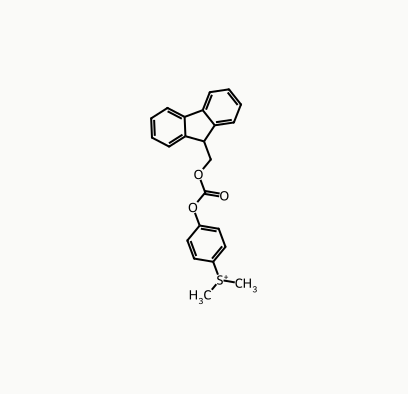 C[S+](C)c1ccc(OC(=O)OCC2c3ccccc3-c3ccccc32)cc1